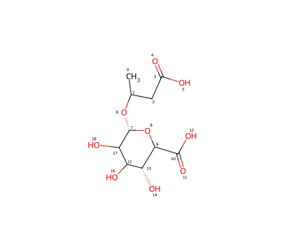 CC(CC(=O)O)O[C@@H]1OC(C(=O)O)[C@H](O)C(O)C1O